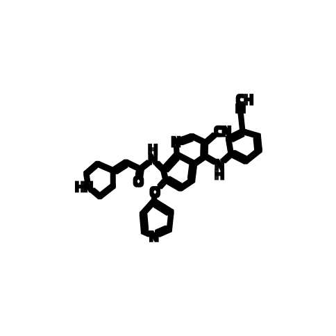 C#Cc1cccc(Nc2c(C#N)cnc3c(NC(=O)C=C4CCNCC4)c(Oc4ccncc4)ccc23)c1